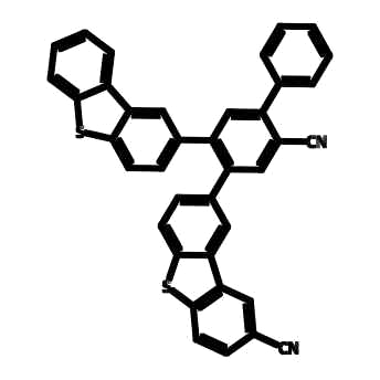 N#Cc1ccc2sc3ccc(-c4cc(C#N)c(-c5ccccc5)cc4-c4ccc5sc6ccccc6c5c4)cc3c2c1